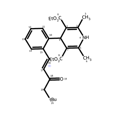 CCOC(=O)C1=C(C)NC(C)=C(C(=O)OCC)C1c1ccccc1/C=C/C(=O)CC(C)(C)C